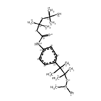 CC(C)N(C)OC(C)(C)C(C)(C)c1ccc(NC(=O)CC(C)(C)CC(C)(C)S)cc1